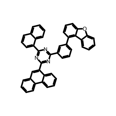 c1cc(-c2nc(-c3cccc4ccccc34)nc(-c3cc4ccccc4c4ccccc34)n2)cc(-c2cccc3oc4ccccc4c23)c1